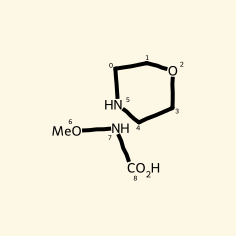 C1COCCN1.CONC(=O)O